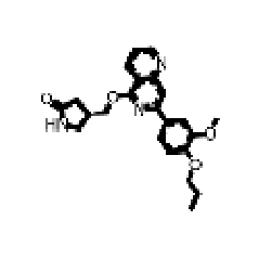 CCCOc1ccc(-c2cc3ncccc3c(OC[C@H]3CNC(=O)C3)n2)cc1OC